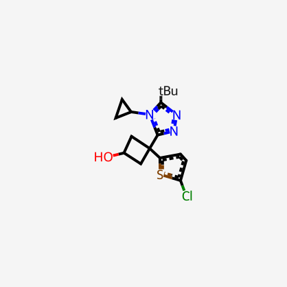 CC(C)(C)c1nnc(C2(c3ccc(Cl)s3)CC(O)C2)n1C1CC1